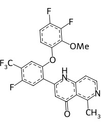 COc1c(Oc2cc(C(F)(F)F)c(F)cc2-c2cc(=O)c3c(C)nccc3[nH]2)ccc(F)c1F